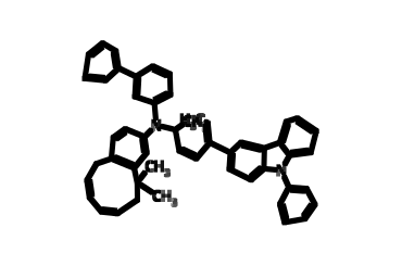 C/C=C(\C=C/C(C)N(c1cccc(-c2ccccc2)c1)c1ccc2c(c1)C(C)(C)C/C=C\C=C/C2)c1ccc2c(c1)c1ccccc1n2-c1ccccc1